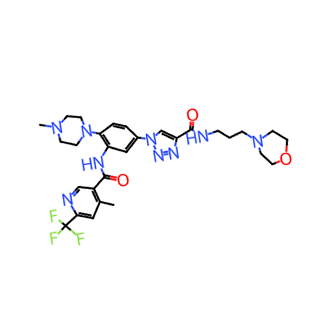 Cc1cc(C(F)(F)F)ncc1C(=O)Nc1cc(-n2cc(C(=O)NCCCN3CCOCC3)nn2)ccc1N1CCN(C)CC1